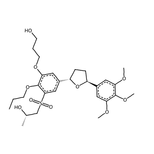 CCCOc1c(OCCCO)cc([C@@H]2CC[C@@H](c3cc(OC)c(OC)c(OC)c3)O2)cc1S(=O)(=O)C[C@H](C)O